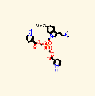 COc1ccc2c(CCN(C)C)cn(COP(=O)(OCOC(=O)C3=CNC=CC3)OCOC(=O)C3=CNC=CC3)c2c1